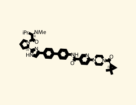 CN[C@H](C(=O)N1CCC[C@H]1c1nc(-c2ccc(-c3ccc(NC(=O)c4ccc(N5CCN(C(=O)[C@H]6CC6(C)C)CC5)nc4)cc3)cc2)c[nH]1)C(C)C